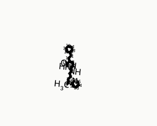 CN(CCCNc1ncc(CCc2ccccc2)c(=O)[nH]1)c1ccccn1